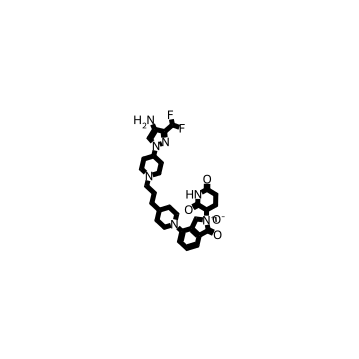 Nc1cn(C2CCN(CCCC3CCN(c4cccc5c4C[N+]([O-])(C4CCC(=O)NC4=O)C5=O)CC3)CC2)nc1C(F)F